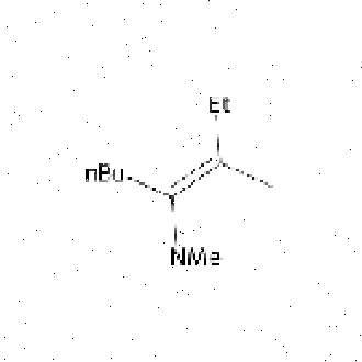 CCCC/C(NC)=C(/C)CC